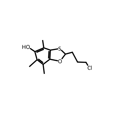 Cc1c(C)c2c(c(C)c1O)SC(CCCCl)O2